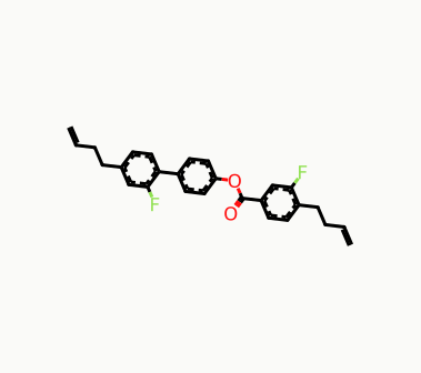 C=CCCc1ccc(-c2ccc(OC(=O)c3ccc(CCC=C)c(F)c3)cc2)c(F)c1